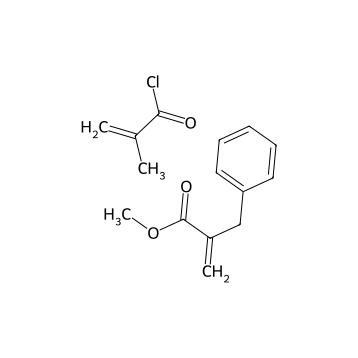 C=C(C)C(=O)Cl.C=C(Cc1ccccc1)C(=O)OC